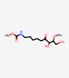 CCCCOC(=O)NCCCCCC(=O)C(O)C(CO)OC(C)(C)C